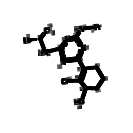 CC[C@@H](Nc1nc(NC(C)C)nc(C2=C(Cl)C(O)CCC2)n1)C(F)(F)F